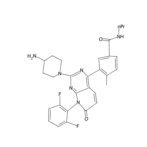 CCCNC(=O)c1ccc(C)c(-c2nc(N3CCC(N)CC3)nc3c2ccc(=O)n3-c2c(F)cccc2F)c1